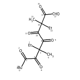 CCC(C)C(=O)C(=O)C(C)(CC)C(=O)C(=O)C(C)(CC)C(=O)C=O